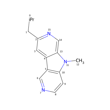 CC(C)Cc1cc2c3cnccc3n(C)c2cn1